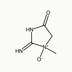 C[N+]1([O-])CC(=O)NC1=N